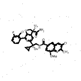 COc1cc(C(=O)NC[C@](O)(c2cc3c(c(-c4cccc(F)c4Cl)n2)OC[C@]3(C)C(N)=O)C2CC2)cc2cc(Cl)c(C)nc12